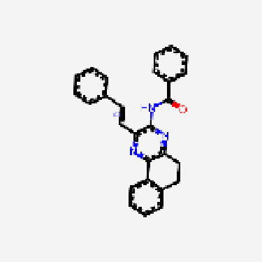 O=C(Nc1nc2c(nc1/C=C/c1ccccc1)-c1ccccc1CC2)c1ccccc1